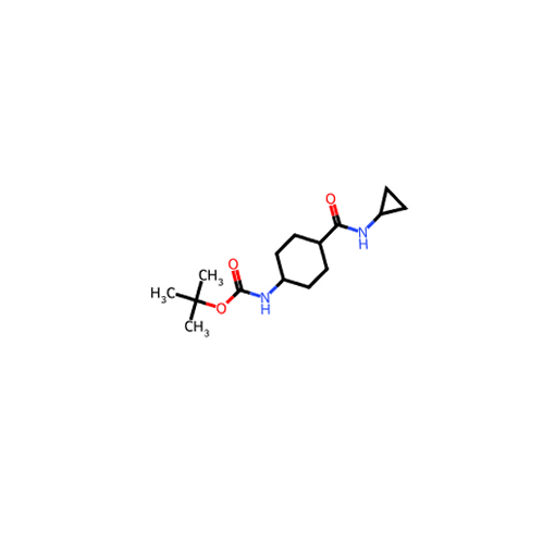 CC(C)(C)OC(=O)NC1CCC(C(=O)NC2CC2)CC1